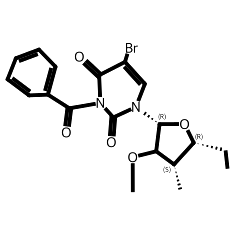 CC[C@H]1O[C@@H](n2cc(Br)c(=O)n(C(=O)c3ccccc3)c2=O)C(OC)[C@H]1C